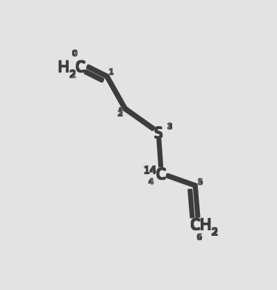 C=C[CH]S[14CH2]C=C